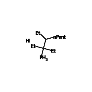 CCCCCC(CC)C(P)(CC)CC.I